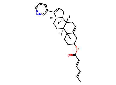 C/C=C/C=C/C(=O)O[C@H]1CC[C@@]2(C)C(=CC[C@@H]3[C@@H]2CC[C@]2(C)C(c4cccnc4)=CC[C@@H]32)C1